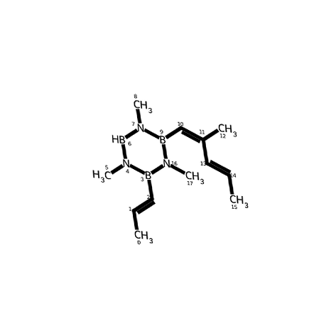 CC=CB1N(C)BN(C)B(C=C(C)C=CC)N1C